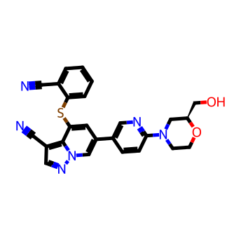 N#Cc1ccccc1Sc1cc(-c2ccc(N3CCO[C@H](CO)C3)nc2)cn2ncc(C#N)c12